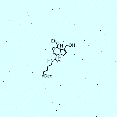 CCCCCCCCCCCCCCNC(=O)C1=COC(OCC)[C@@H]2C(CO)=CC[C@H]12